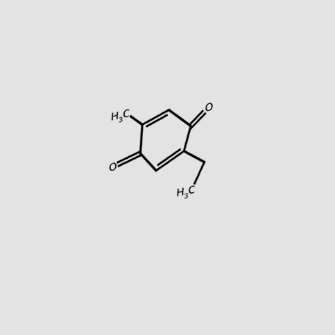 CCC1=CC(=O)C(C)=CC1=O